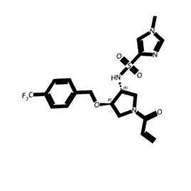 C=CC(=O)N1C[C@@H](NS(=O)(=O)c2cn(C)cn2)[C@H](OCc2ccc(C(F)(F)F)cc2)C1